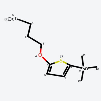 CCCCCCCCCCCOc1cc[c]([Sn]([CH3])([CH3])[CH3])s1